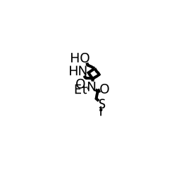 CCN(C(=O)CSI)C12CC(C1)C(O)NC2=O